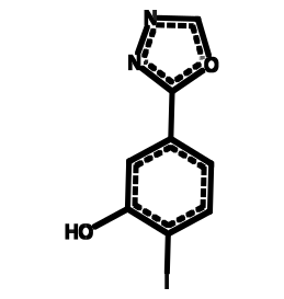 Oc1cc(-c2nnco2)ccc1I